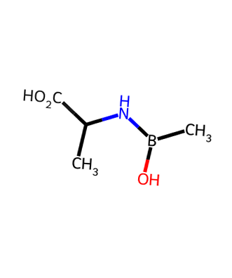 CB(O)NC(C)C(=O)O